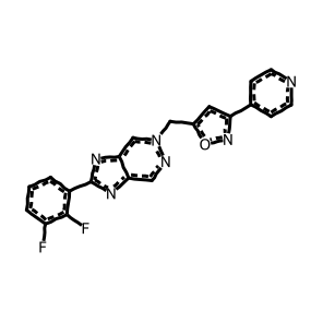 Fc1cccc(-c2nc3cnn(Cc4cc(-c5ccncc5)no4)cc-3n2)c1F